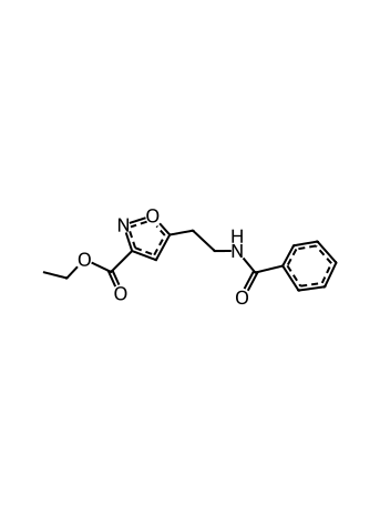 CCOC(=O)c1cc(CCNC(=O)c2ccccc2)on1